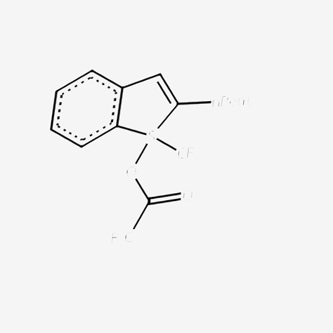 CCCCCC1=Cc2ccccc2S1(OC(=O)C(F)(F)F)C(F)(F)F